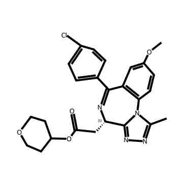 COc1ccc2c(c1)C(c1ccc(Cl)cc1)=N[C@@H](CC(=O)OC1CCOCC1)c1nnc(C)n1-2